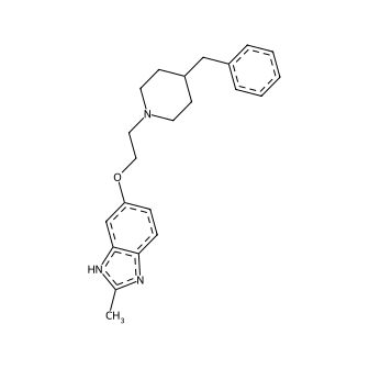 Cc1nc2ccc(OCCN3CCC(Cc4ccccc4)CC3)cc2[nH]1